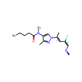 C=N/C=C(F)\C=C(/C)n1cc(N(CC)C(=O)CCCC(C)=O)c(C)n1